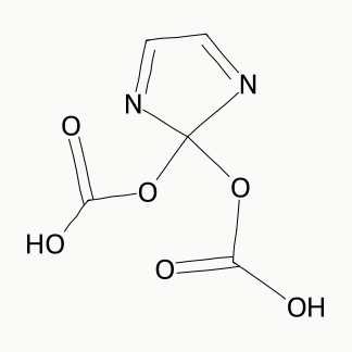 O=C(O)OC1(OC(=O)O)N=CC=N1